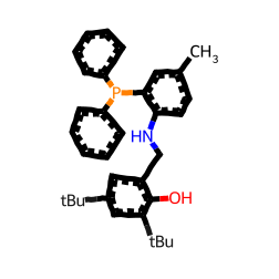 Cc1ccc(NCc2cc(C(C)(C)C)cc(C(C)(C)C)c2O)c(P(c2ccccc2)c2ccccc2)c1